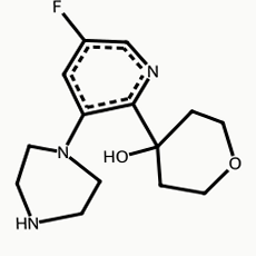 OC1(c2ncc(F)cc2N2CCNCC2)CCOCC1